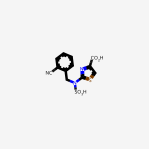 N#Cc1ccccc1CN(c1nc(C(=O)O)cs1)S(=O)(=O)O